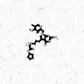 COc1c(C)cnc(Cn2cc(CCCN[C@@H](C)C(=O)OC3CCCC3)c3c(Cl)nc(N)nc32)c1C